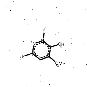 COc1cc(F)nc(F)c1O